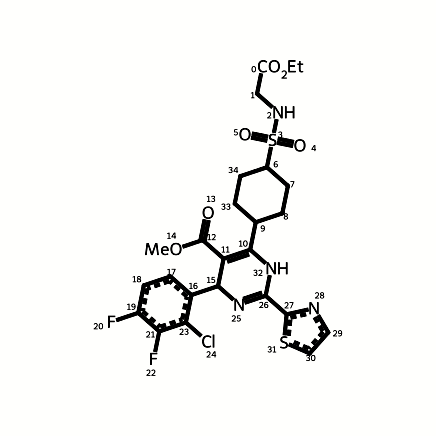 CCOC(=O)CNS(=O)(=O)C1CCC(C2=C(C(=O)OC)C(c3ccc(F)c(F)c3Cl)N=C(c3nccs3)N2)CC1